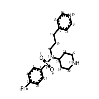 CC(C)c1ccc(S(=O)(=O)N(CCCc2ccncc2)C2CCNCC2)cc1